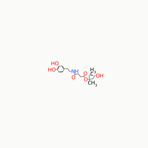 CCC(C)(CCO)OC(=O)CCC(=O)NCCc1ccc(O)c(O)c1